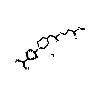 COC(=O)CCNC(=O)CC1CCN(c2ccc(C(=N)N)cc2)CC1.Cl